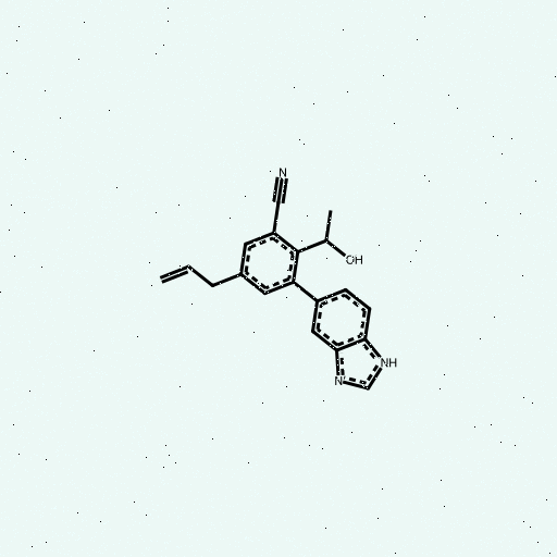 C=CCc1cc(C#N)c(C(C)O)c(-c2ccc3[nH]cnc3c2)c1